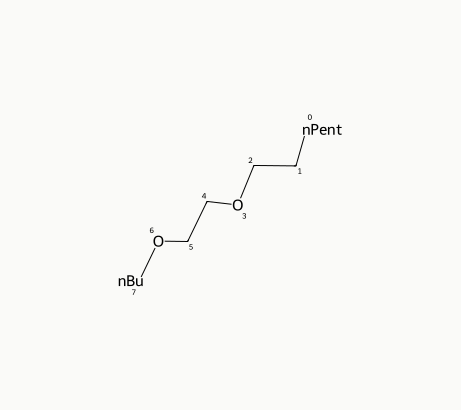 CCCCCCCOCCOCCCC